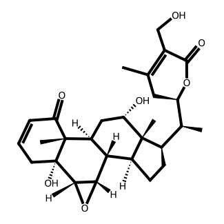 CC1=C(CO)C(=O)O[C@@H]([C@@H](C)[C@H]2CC[C@H]3[C@@H]4[C@@H]5O[C@@H]5[C@@]5(O)CC=CC(=O)[C@]5(C)[C@H]4C[C@H](O)[C@]23C)C1